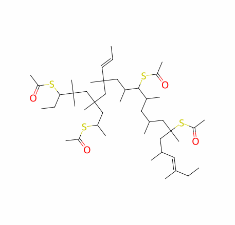 C/C=C/C(C)(CC(C)C(SC(C)=O)C(C)CC(C)CC(C)(CC(C)/C=C(\C)CC)SC(C)=O)CC(C)(CC(C)SC(C)=O)CC(C)(C)C(CC)SC(C)=O